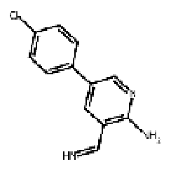 N=Cc1cc(-c2ccc(Cl)cc2)cnc1N